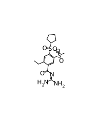 CCc1cc(S(=O)(=O)C2CCCC2)c(S(C)(=O)=O)cc1C(=O)N=C(N)N